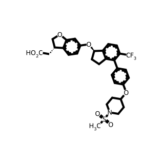 CS(=O)(=O)N1CCC(Oc2ccc(-c3c(C(F)(F)F)ccc4c3CC[C@H]4Oc3ccc4c(c3)OC[C@H]4CC(=O)O)cc2)CC1